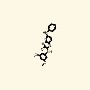 COc1cc(Nc2nc3ccc(Nc4ccccc4)nc3[nH]c2=O)cc(OC)c1